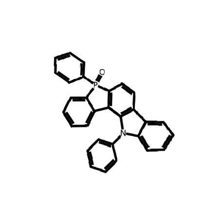 O=P1(c2ccccc2)c2ccccc2-c2c1ccc1c3ccccc3n(-c3ccccc3)c21